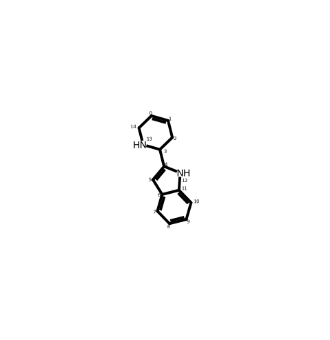 C1=CCC(c2cc3ccccc3[nH]2)NC1